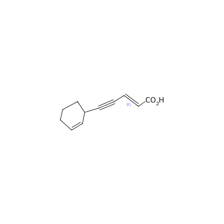 O=C(O)/C=C/C#CC1C=CCCC1